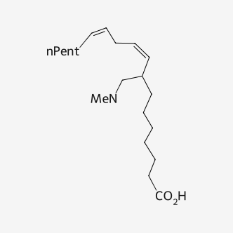 CCCCC/C=C\C/C=C\C(CCCCCCC(=O)O)CNC